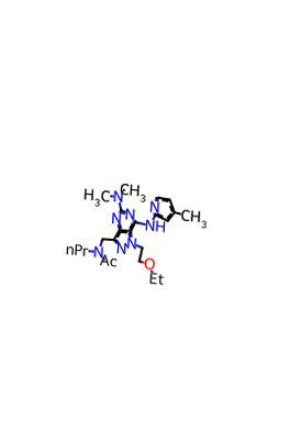 CCCN(Cc1nn(CCOCC)c2c(Nc3cc(C)ccn3)nc(N(C)C)nc12)C(C)=O